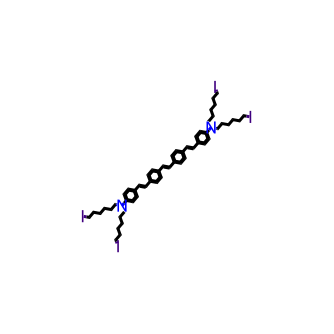 ICCCCCCN(CCCCCCI)c1ccc(C=Cc2ccc(C=Cc3ccc(C=Cc4ccc(N(CCCCCCI)CCCCCCI)cc4)cc3)cc2)cc1